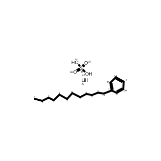 CCCCCCCCCCCCc1ccccc1.O=S(=O)(O)O.[LiH]